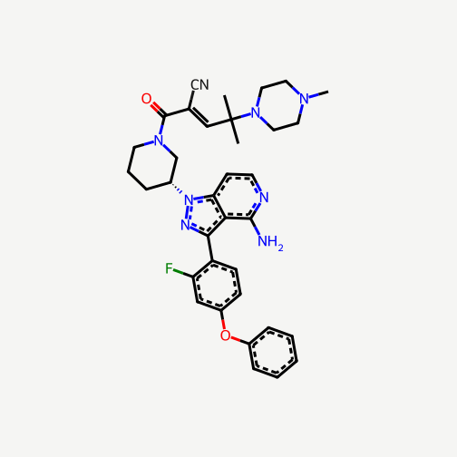 CN1CCN(C(C)(C)C=C(C#N)C(=O)N2CCC[C@@H](n3nc(-c4ccc(Oc5ccccc5)cc4F)c4c(N)nccc43)C2)CC1